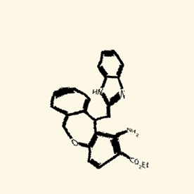 CCOC(=O)c1ccc2c(c1N)C(Cc1nc3ccccc3[nH]1)c1ccccc1CO2